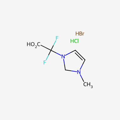 Br.CN1C=CN(C(F)(F)C(=O)O)C1.Cl